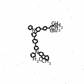 CC(C)(N)CC(c1ccc(-c2ccc3c(c2)c2cc(-c4ccc(-c5ccc(N(c6ccccc6)c6ccc7c(c6)C(C)(C)c6ccccc6-7)cc5)cc4)ccc2n3-c2ccccc2)cc1)C(C)(C)C